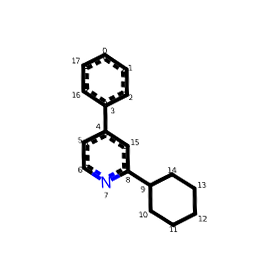 c1ccc(-c2ccnc(C3CCCCC3)c2)cc1